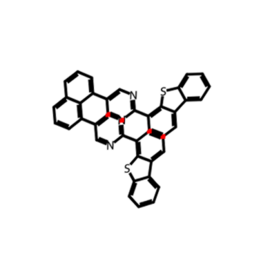 c1cc(-c2cnc(-c3cccc4c3sc3ccccc34)nc2)c2c(-c3cnc(-c4cccc5c4sc4ccccc45)nc3)cccc2c1